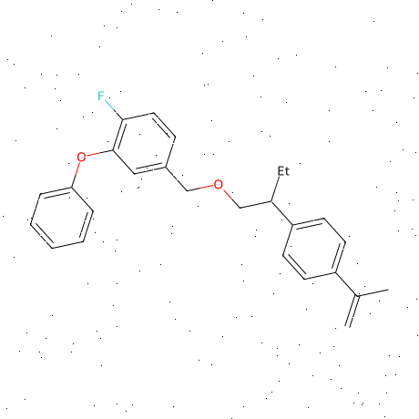 C=C(C)c1ccc(C(CC)COCc2ccc(F)c(Oc3ccccc3)c2)cc1